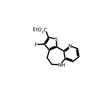 CCOC(=O)c1sc2c(c1F)CCNc1cccnc1-2